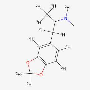 [2H]c1c([2H])c(C([2H])([2H])C(N([2H])C)C([2H])([2H])[2H])c([2H])c2c1OC([2H])([2H])O2